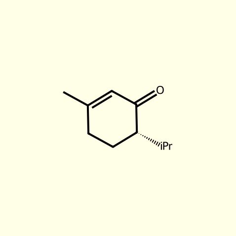 CC1=CC(=O)[C@H](C(C)C)CC1